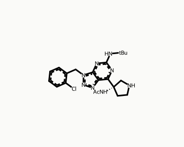 CC(=O)N[C@@]1(c2nc(NC(C)(C)C)nc3c2nnn3Cc2ccccc2Cl)CCNC1